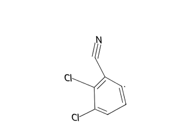 N#Cc1[c]ccc(Cl)c1Cl